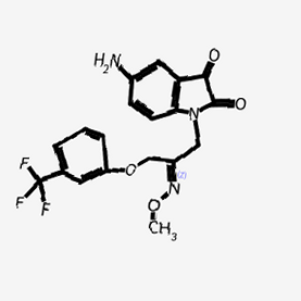 CO/N=C(\COc1cccc(C(F)(F)F)c1)CN1C(=O)C(=O)c2cc(N)ccc21